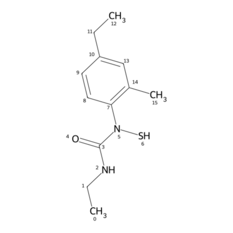 CCNC(=O)N(S)c1ccc(CC)cc1C